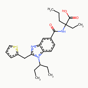 CCCC(CC)(NC(=O)c1ccc2c(c1)nc(Cc1cccs1)n2C(CC)CC)C(=O)O